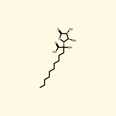 CCCCCCCCCCC(O)(C(=O)O)[C@H]1OC(=O)[C@@H](O)[C@H]1O